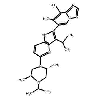 Cc1c(-c2[nH]c3ccc(N4C[C@H](C)N(C(C)C)C[C@H]4C)nc3c2C(C)C)cn2ncnc2c1C